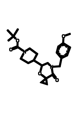 COc1ccc(CN2CC(C3CCN(C(=O)OC(C)(C)C)CC3)OC3(CC3)C2=O)cc1